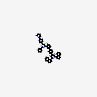 N#Cc1c(-c2cccc3ccccc23)nc(-c2cccc3ccccc23)c(C#N)c1-c1ccc(-c2ccc(Cl)c(-c3cc(-c4ccc(-c5ccccn5)cc4)nc(-c4ccccc4)n3)c2)cc1